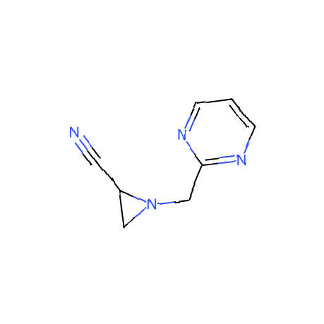 N#CC1CN1Cc1ncccn1